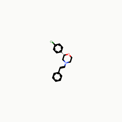 Clc1ccc([C@H]2CN(C=Cc3ccccc3)CCO2)cc1